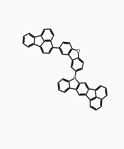 c1ccc2c(c1)-c1cccc3c(-c4ccc5oc6ccc(-n7c8ccccc8c8cc9c(cc87)-c7cccc8cccc-9c78)cc6c5c4)ccc-2c13